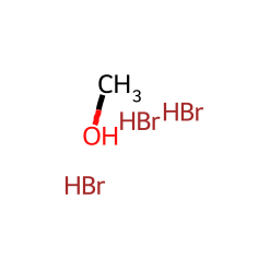 Br.Br.Br.CO